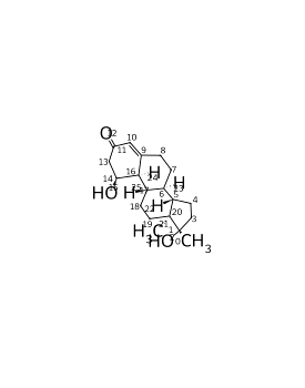 C[C@]1(O)CC[C@H]2[C@@H]3CCC4=CC(=O)C[C@H](O)[C@@H]4[C@H]3CC[C@@]21C